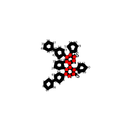 c1ccc(-c2ccc(-c3nc(-c4ccccc4-c4ccccc4-c4ccccc4-c4nc(-c5ccc(-c6ccccc6)cc5)c5c(n4)sc4ccccc45)c4c(n3)sc3ccccc34)cc2)cc1